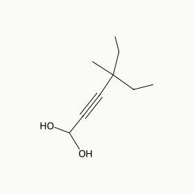 CCC(C)(C#CC(O)O)CC